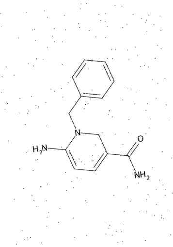 NC(=O)C1=CC=C(N)N(Cc2ccccc2)C1